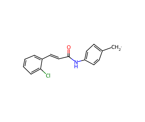 [CH2]c1ccc(NC(=O)C=Cc2ccccc2Cl)cc1